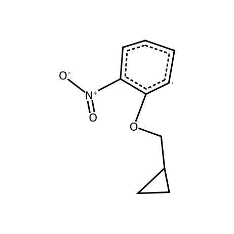 O=[N+]([O-])c1ccc[c]c1OCC1CC1